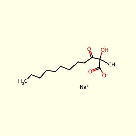 CCCCCCCCCC(=O)C(C)(O)C(=O)[O-].[Na+]